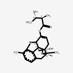 CC(=O)O[C@@H](C(=O)O)[C@@H](C)C(=O)OC1=CC[C@@]2(O)[C@H]3Cc4ccc(C)c5c4[C@@]2(CCN3C)[C@H]1O5